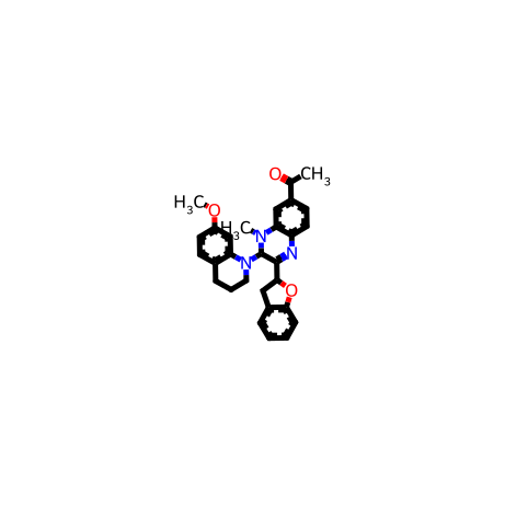 COc1ccc2c(c1)N(C1C(C3Cc4ccccc4O3)=Nc3ccc(C(C)=O)cc3N1C)CCC2